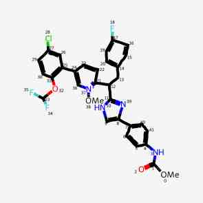 COC(=O)Nc1ccc(-c2c[nH]c(C(Cc3ccc(F)cc3)c3ccc(-c4cc(Cl)ccc4OC(F)F)c[n+]3OC)n2)cc1